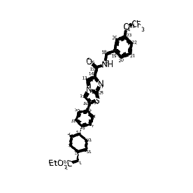 CCOC(=O)C[C@H]1CC[C@H](c2ccc(-c3cn4cc(C(=O)NCc5cccc(OC(F)(F)F)c5)nc4s3)cc2)CC1